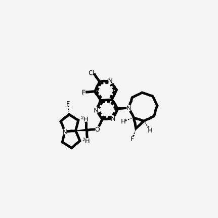 [2H]C([2H])(Oc1nc(N2CCCCC[C@H]3[C@H](F)[C@H]32)c2cnc(Cl)c(F)c2n1)[C@@]12CCCN1C[C@H](F)C2